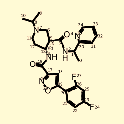 CC(NC(=O)[C@@H]1CN(C(C)C)CC[C@H]1NC(=O)c1cc(-c2ccc(F)cc2F)on1)c1ccccn1